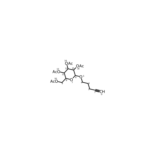 C#CCCCOC1OC(COC(C)=O)C(OC(C)=O)C(OC(C)=O)C1OC(C)=O